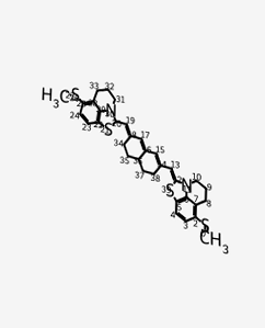 CSc1ccc2c3c1CCCN3/C(=C/C1=CC3=C/C(=C/C4Sc5ccc(SC)c6c5N4CCC6)CCC3CC1)S2